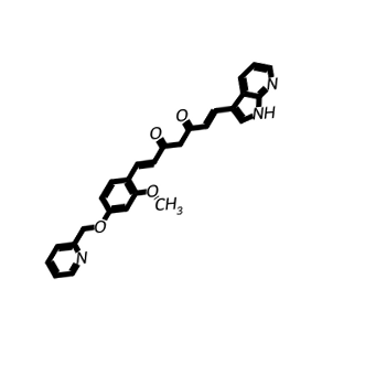 COc1cc(OCc2ccccn2)ccc1C=CC(=O)CC(=O)C=Cc1c[nH]c2ncccc12